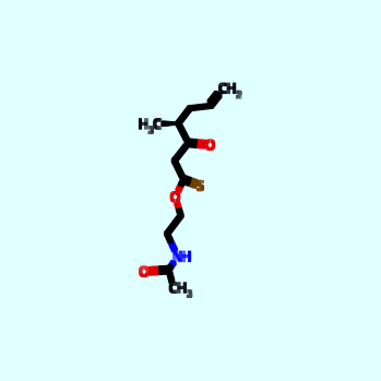 C=CC[C@H](C)C(=O)CC(=S)OCCNC(C)=O